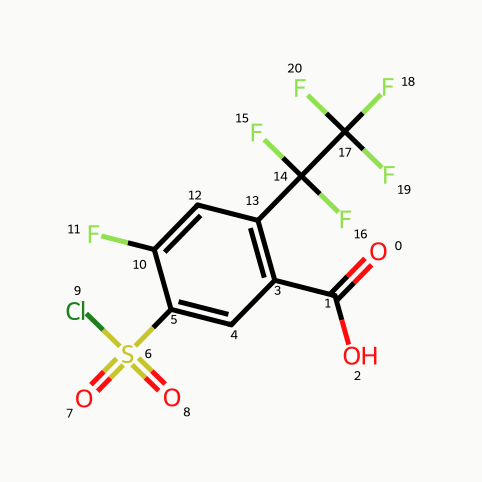 O=C(O)c1cc(S(=O)(=O)Cl)c(F)cc1C(F)(F)C(F)(F)F